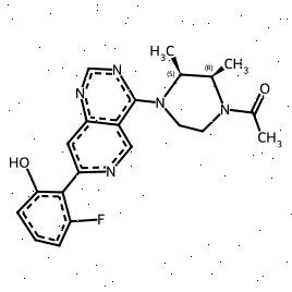 CC(=O)N1CCN(c2ncnc3cc(-c4c(O)cccc4F)ncc23)[C@@H](C)[C@H]1C